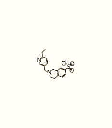 CCc1ccc(CN2CCc3ccc(S(=O)(=O)Cl)cc3C2)cn1